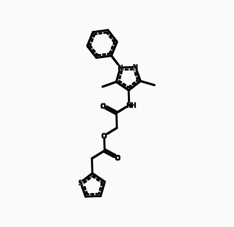 Cc1nn(-c2ccccc2)c(C)c1NC(=O)COC(=O)Cc1cccs1